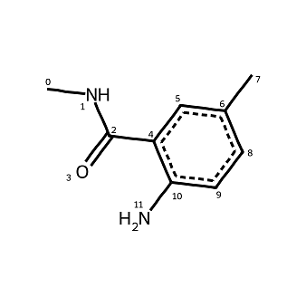 CNC(=O)c1cc(C)ccc1N